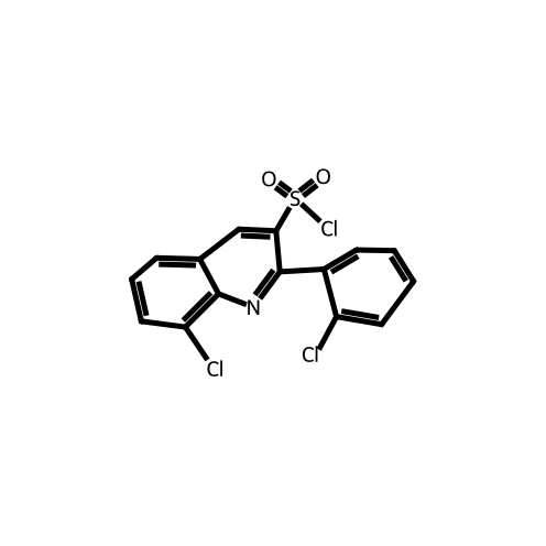 O=S(=O)(Cl)c1cc2cccc(Cl)c2nc1-c1ccccc1Cl